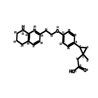 CC1(CC(=O)O)CC1c1ccc(OCCc2ccc3c(n2)NCCC3)cc1